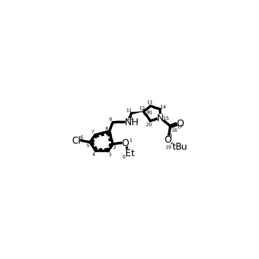 CCOc1ccc(Cl)cc1CNC[C@H]1CCN(C(=O)OC(C)(C)C)C1